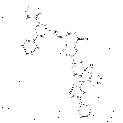 C=C(/C=C\C=C/Nc1cc(-c2ccccc2)cc(-c2ccccc2)c1)c1cccc(C2=CC=C(Nc3cccc(C4C=CC=CC4)c3)C(C)(c3ccccc3)C2)c1